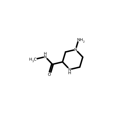 CNC(=O)C1CN(N)CCN1